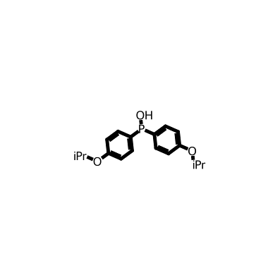 CC(C)Oc1ccc(P(O)c2ccc(OC(C)C)cc2)cc1